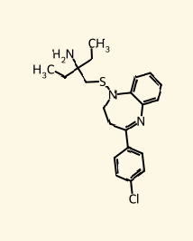 CCC(N)(CC)CSN1CCC(c2ccc(Cl)cc2)=Nc2ccccc21